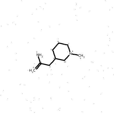 C=C(N)CC1CCCN(C)C1